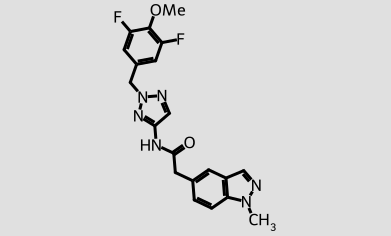 COc1c(F)cc(Cn2ncc(NC(=O)Cc3ccc4c(cnn4C)c3)n2)cc1F